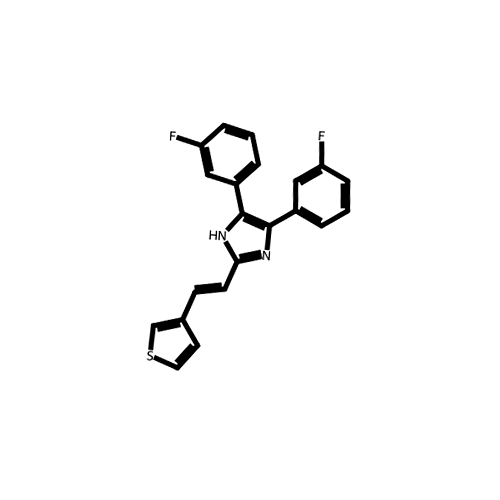 Fc1cccc(-c2nc(/C=C/c3ccsc3)[nH]c2-c2cccc(F)c2)c1